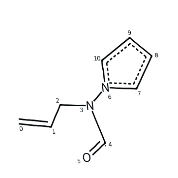 C=CCN([C]=O)n1cccc1